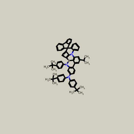 CC(C)c1cc2c3c(c1)N1c4ccccc4C4(c5ccccc5-c5ccccc54)c4cccc(c41)B3N(c1ccc(C(C)(C)C)cc1)c1cc(N(c3ccc(C(C)(C)C)cc3)c3ccc(C(C)(C)C)cc3)ccc1-2